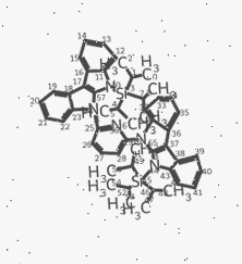 CC(C)[Si](C(C)C)(C(C)C)n1c2ccccc2c2c3ccccc3n(-c3cccc(-n4c5ccccc5c5c6ccccc6n([Si](C(C)C)(C(C)C)C(C)C)c54)n3)c21